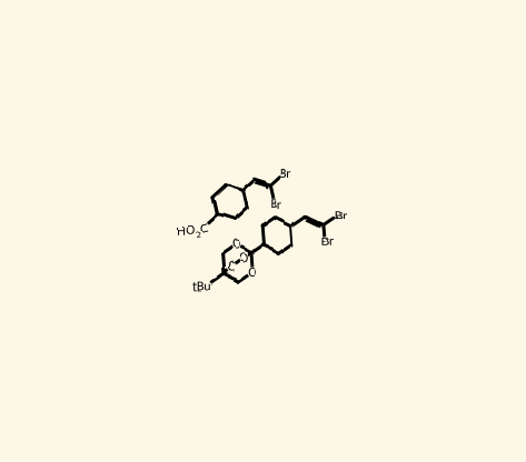 CC(C)(C)C12COC(C3CCC(C=C(Br)Br)CC3)(OC1)OC2.O=C(O)C1CCC(C=C(Br)Br)CC1